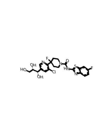 O=C(Nc1nc2ccc(F)cc2s1)N1CCC(F)(c2ncc([C@H](O)[C@@H](O)CO)cc2Cl)CC1